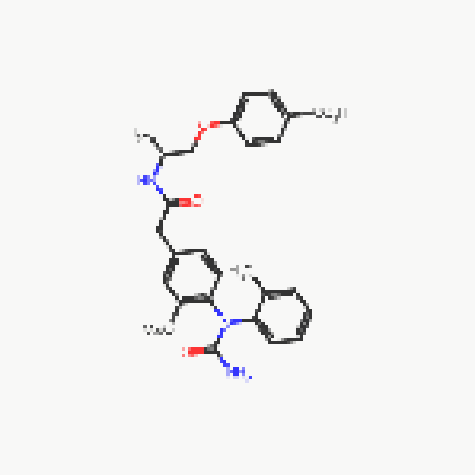 COc1cc(CC(=O)N[C@@H](C)COc2ccc(C(=O)O)cc2)ccc1N(C(N)=O)c1ccccc1C